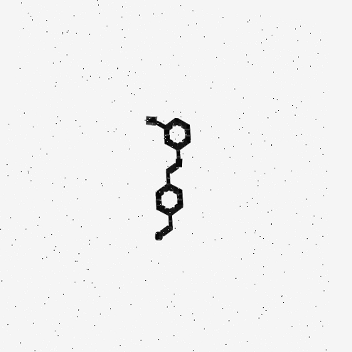 O=Cc1ccc(C=Nc2cccc(S)c2)cc1